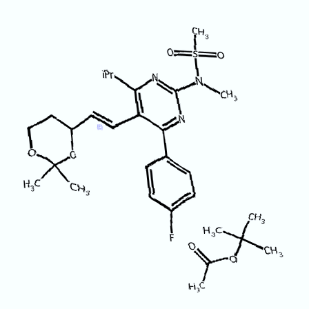 CC(=O)OC(C)(C)C.CC(C)c1nc(N(C)S(C)(=O)=O)nc(-c2ccc(F)cc2)c1/C=C/C1CCOC(C)(C)O1